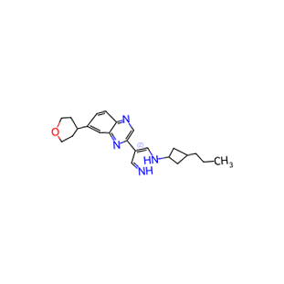 CCCC1CC(N/C=C(\C=N)c2cnc3ccc(C4CCOCC4)cc3n2)C1